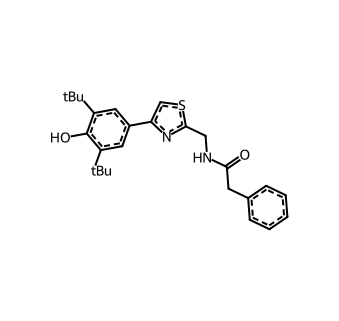 CC(C)(C)c1cc(-c2csc(CNC(=O)Cc3ccccc3)n2)cc(C(C)(C)C)c1O